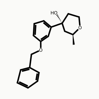 C[C@H]1C[C@@](O)(c2cccc(OCc3ccccc3)c2)CCO1